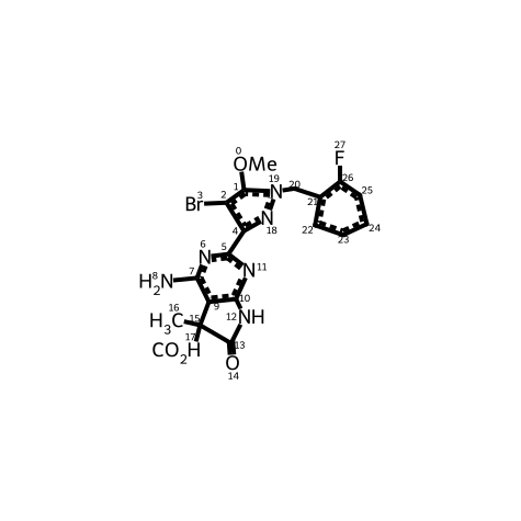 COc1c(Br)c(-c2nc(N)c3c(n2)NC(=O)C3(C)C(=O)O)nn1Cc1ccccc1F